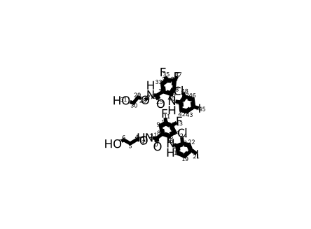 O=C(NOCCCO)c1cc(F)c(F)cc1Nc1ccc(I)cc1Cl.O=C(NOCCO)c1cc(F)c(F)cc1Nc1ccc(I)cc1Cl